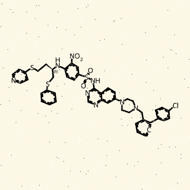 O=[N+]([O-])c1cc(S(=O)(=O)Nc2ncnc3cc(N4CCN(Cc5ccccc5-c5ccc(Cl)cc5)CC4)ccc23)ccc1N[C@H](CCSc1ccncc1)CSc1ccccc1